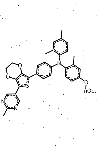 CCCCCCCCOc1ccc(N(c2ccc(-c3sc(-c4cnc(C)nc4)c4c3OCCO4)cc2)c2ccc(C)cc2C)c(C)c1